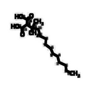 CCCCCCCCCCCC(C)(C)C(C(=O)O)C(=O)O